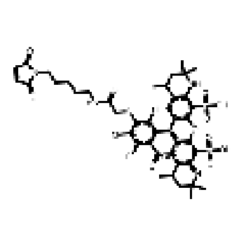 CC1CC(C)(C)Nc2c1cc1c(c2S(=O)(=O)O)Oc2c(S(=O)(=O)O)c3c(cc2=C1c1c(Cl)c(SCC(=O)NCCCCCN2C(=O)C=CC2=O)c(Cl)c(Cl)c1C(=O)O)C(C)CC(C)(C)N=3